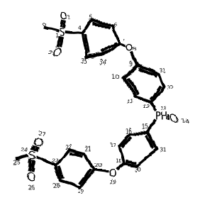 CS(=O)(=O)c1ccc(Oc2ccc([PH](=O)c3ccc(Oc4ccc(S(C)(=O)=O)cc4)cc3)cc2)cc1